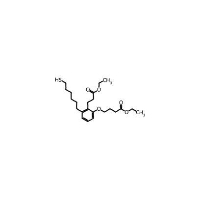 CCOC(=O)CCCOc1cccc(CCCCCCS)c1CCC(=O)OCC